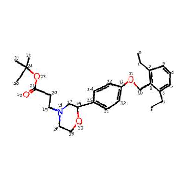 CCc1cccc(CC)c1COc1ccc(C2CN(CCC(=O)OC(C)(C)C)CCO2)cc1